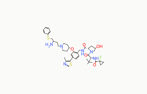 Cc1ncsc1-c1ccc(CNC(=O)[C@@H]2C[C@@H](O)CN2C(=O)[C@@H](NC(=O)C2(F)CC2)C(C)(C)C)c(OC2CCN(CC[C@@H](N)CSc3ccccc3)CC2)c1